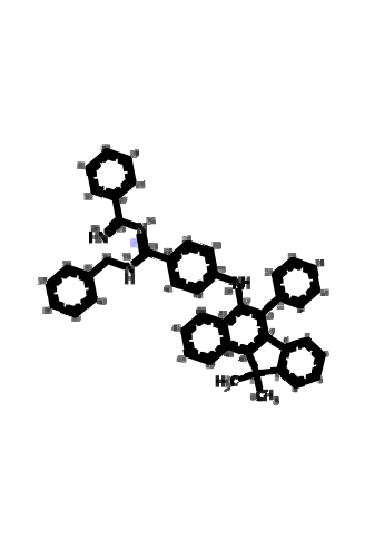 CC1(C)c2ccccc2-c2c(-c3ccccc3)c(Nc3ccc(/C(=N/C(=N)c4ccccc4)NCc4ccccc4)cc3)c3ccccc3c21